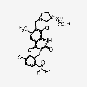 CCS(=O)(=O)c1ccc(Cl)cc1Cn1c(=O)[nH]c2c(Cl)c(CN3CC[C@H](NC(=O)O)C3)c(C(F)(F)F)cc2c1=O